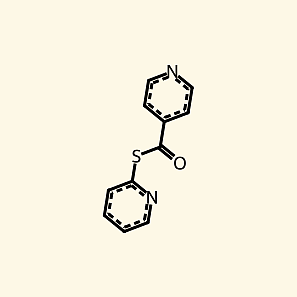 O=C(Sc1ccccn1)c1ccncc1